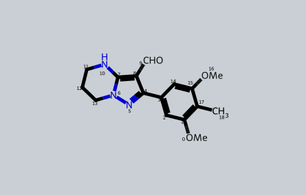 COc1cc(-c2nn3c(c2C=O)NCCC3)cc(OC)c1C